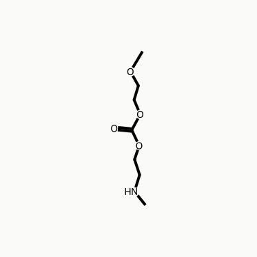 CNCCOC(=O)OCCOC